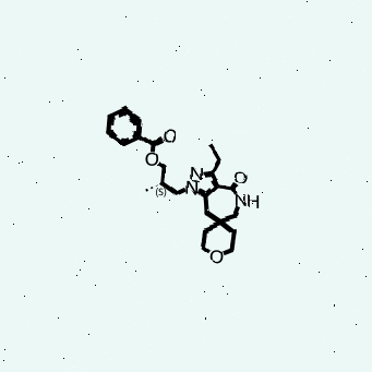 CCc1nn(C[C@H](C)COC(=O)c2ccccc2)c2c1C(=O)NCC1(CCOCC1)C2